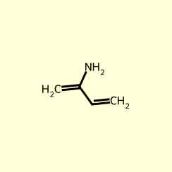 C=CC(=C)N